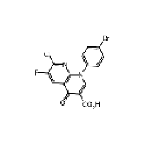 O=C(O)c1cn(-c2ccc(Br)cc2)c2nc(Cl)c(F)cc2c1=O